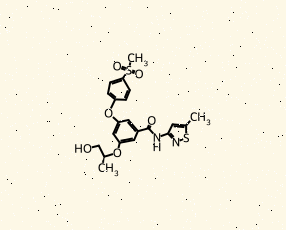 Cc1cc(NC(=O)c2cc(Oc3ccc(S(C)(=O)=O)cc3)cc(O[C@@H](C)CO)c2)ns1